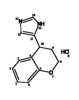 Cl.c1ccc2c(c1)OCCC2c1cnc[nH]1